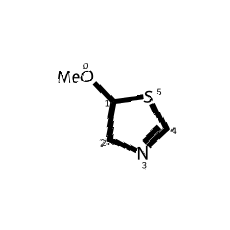 COC1[C]N=CS1